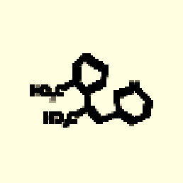 O=C(O)/C(=C/c1cccnc1)c1ccccc1C(=O)O